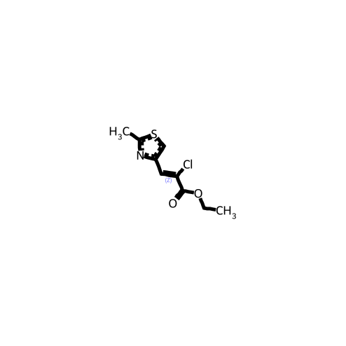 CCOC(=O)/C(Cl)=C/c1csc(C)n1